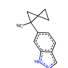 N#CC1(c2ccc3cn[nH]c3c2)CC12CC2